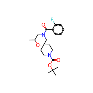 CC1CN(C(=O)c2ccccc2F)CC2(CCN(C(=O)OC(C)(C)C)CC2)O1